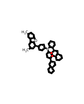 Cc1ccc2oc3c(-c4ccc(N(c5ccc(-c6ccc7ccccc7c6)cc5)c5ccccc5-c5ccc6ccccc6c5)cc4)cc(C)cc3c2c1